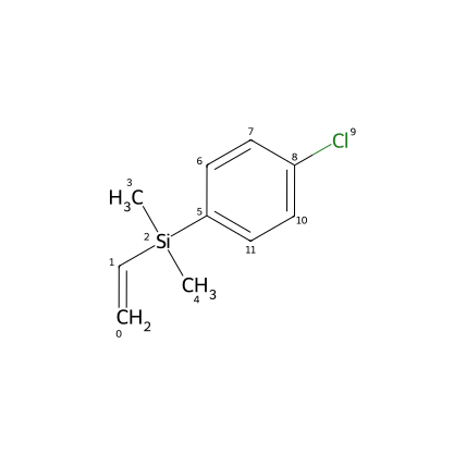 C=C[Si](C)(C)c1ccc(Cl)cc1